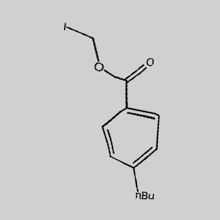 CCCCc1ccc(C(=O)OCI)cc1